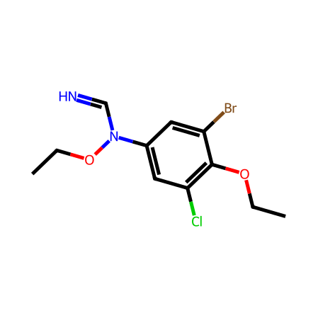 CCOc1c(Cl)cc(N(C=N)OCC)cc1Br